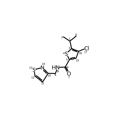 CC(C)c1sc(C(=O)NCc2ccsn2)cc1Cl